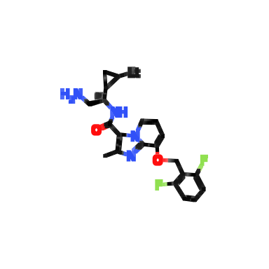 CCC1CC1[C@H](CN)NC(=O)c1c(C)nc2c(OCc3c(F)cccc3F)cccn12